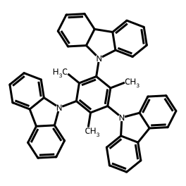 Cc1c(N2c3ccccc3C3C=CC=CC32)c(C)c(-n2c3ccccc3c3ccccc32)c(C)c1-n1c2ccccc2c2ccccc21